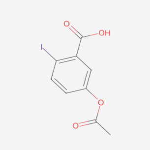 CC(=O)Oc1ccc(I)c(C(=O)O)c1